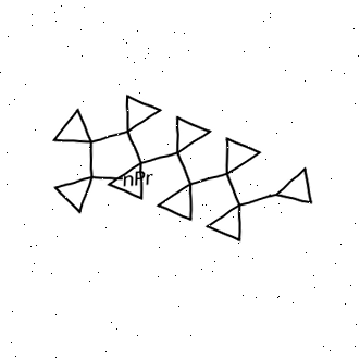 CCCC1(C2(C3(C4(C5(C6(C7(C8([C]9CC9)CC8)CC7)CC6)CC5)CC4)CC3)CC2)CC1